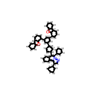 c1ccc(-c2cnn3c(-c4ccccc4)c(-c4ccc(-c5cc(-c6cccc7c6oc6ccccc67)cc(-c6cccc7c6oc6ccccc67)c5)cc4)c4ccccc4c23)cc1